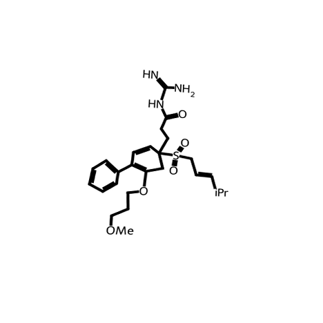 COCCCOC1=C(c2ccccc2)C=CC(CCC(=O)NC(=N)N)(S(=O)(=O)CC=CC(C)C)C1